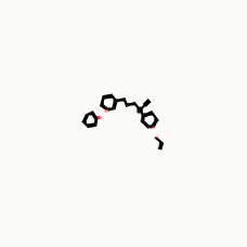 C#CC(CCC)(CCCc1cccc(Oc2ccccc2)c1)c1ccc(OCC=C)cc1